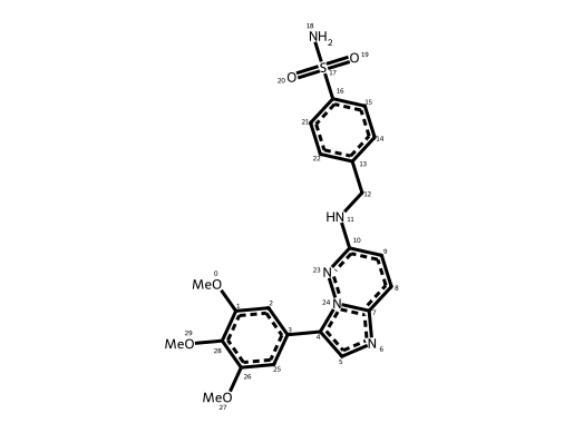 COc1cc(-c2cnc3ccc(NCc4ccc(S(N)(=O)=O)cc4)nn23)cc(OC)c1OC